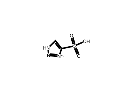 O=S(=O)(O)C1=CNN=[N+]1